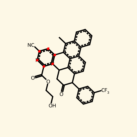 Cc1c(-c2ccnc(C(=O)OCCO)n2)c2c3c(ccc2c2ccccc12)C(c1cccc(C(F)(F)F)c1)C(=O)CC3c1ccc(C#N)cc1